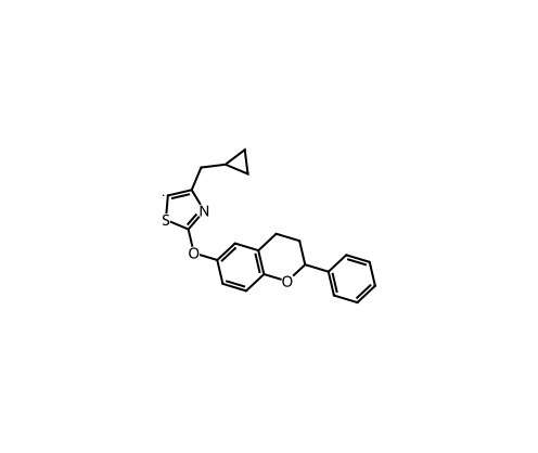 [c]1sc(Oc2ccc3c(c2)CCC(c2ccccc2)O3)nc1CC1CC1